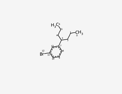 CCCC(CCC)c1cccc(Br)c1